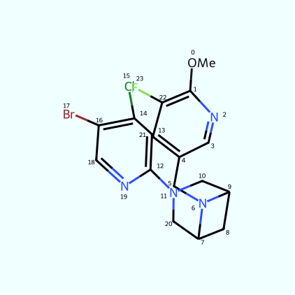 COc1ncc(CN2C3CC2CN(c2cc(Cl)c(Br)cn2)C3)cc1F